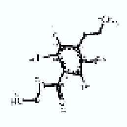 CCCc1c(F)c(F)c(C(=O)OCO)c(F)c1F